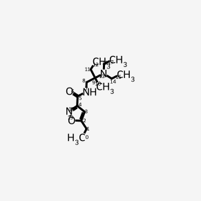 CCc1cc(C(=O)NCC(C)(CC)N(CC)CC)no1